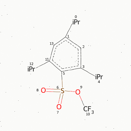 CC(C)c1cc(C(C)C)c(S(=O)(=O)OC(F)(F)F)c(C(C)C)c1